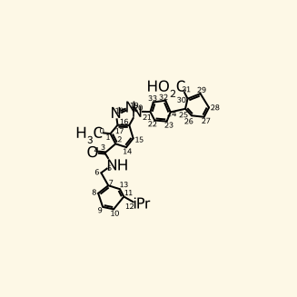 Cc1c(C(=O)NCc2cccc(C(C)C)c2)ccc2c1nnn2-c1ccc(-c2ccccc2C(=O)O)cc1